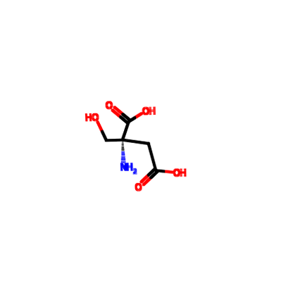 N[C@@](CO)(CC(=O)O)C(=O)O